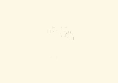 CCCCCCCCC(OP(O)O)(C(C)C)C(C)C